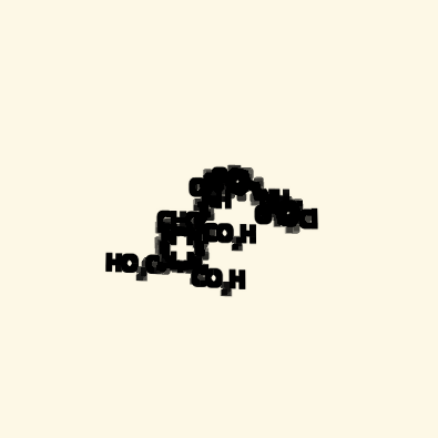 CC(C)(Oc1ccc(CCNC(=O)c2ccc(Cl)cc2)cc1)C(=O)NCCCC(C(=O)O)N1CCN(CC=O)CCN(CC(=O)O)CCN(CC(=O)O)CC1